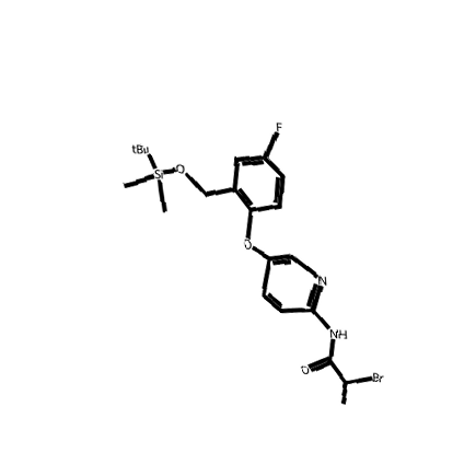 CC(Br)C(=O)Nc1ccc(Oc2ccc(F)cc2CO[Si](C)(C)C(C)(C)C)cn1